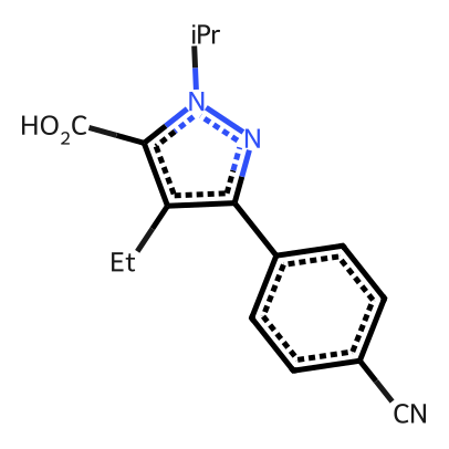 CCc1c(-c2ccc(C#N)cc2)nn(C(C)C)c1C(=O)O